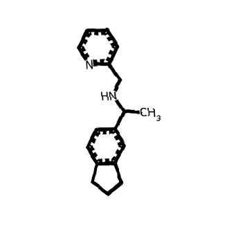 CC(NCc1ccccn1)c1ccc2c(c1)CCC2